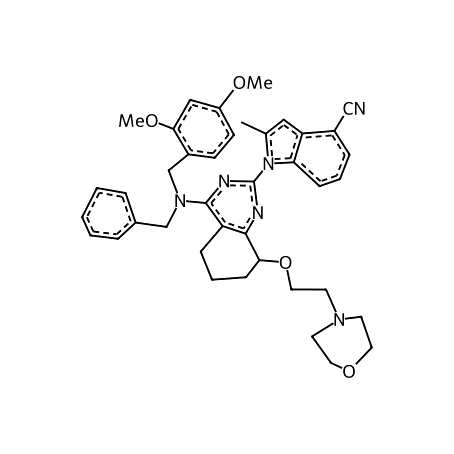 COc1ccc(CN(Cc2ccccc2)c2nc(-n3c(C)cc4c(C#N)cccc43)nc3c2CCCC3OCCN2CCOCC2)c(OC)c1